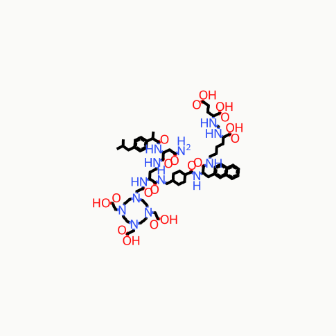 CC(C)Cc1ccc(C(C)C(=O)NC(CC(N)=O)C(=O)NCCC(NC(=O)CN2CCN(CC(=O)O)CCN(CC(=O)O)CCN(CC(=O)O)CC2)C(=O)NCC2CCC(C(=O)NC(Cc3ccc4ccccc4c3)C(=O)NCCCCC(NCNC(CCC(=O)O)C(=O)O)C(=O)O)CC2)cc1